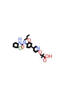 CCC1CN(C(=O)Nc2ccccc2Cl)c2ccc(-c3ccc(OCC(C)(C)C(=O)O)nc3)cc2O1